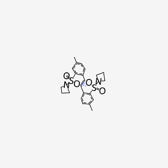 Cc1ccc(/C=C/c2ccc(C)cc2S(=O)(=O)N2CCC2)c(S(=O)(=O)N2CCC2)c1